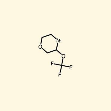 FC(F)(F)OC1COCC[N]1